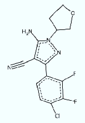 N#Cc1c(-c2ccc(Cl)c(F)c2F)nn(C2CCOC2)c1N